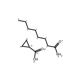 CCCCCCCC(N)=O.O=C(O)C1CC1